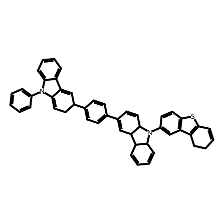 C1=CC2C3C=C(c4ccc(C5C=c6c(n(-c7ccccc7)c7ccccc67)=CC5)cc4)C=CC3N(c3ccc4sc5c(c4c3)CCC=C5)C2C=C1